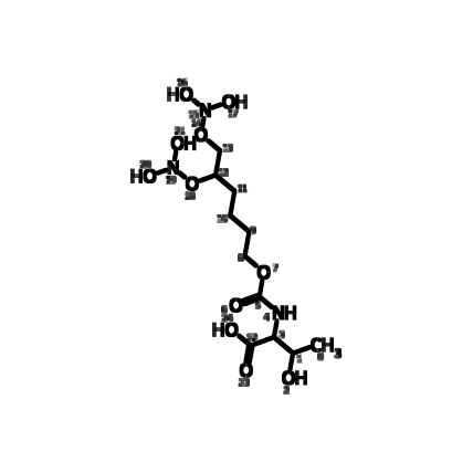 CC(O)C(NC(=O)OCCCCC(CON(O)O)ON(O)O)C(=O)O